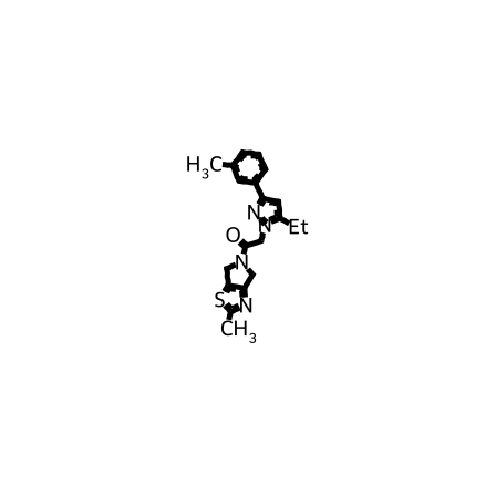 CCc1cc(-c2cccc(C)c2)nn1CC(=O)N1Cc2nc(C)sc2C1